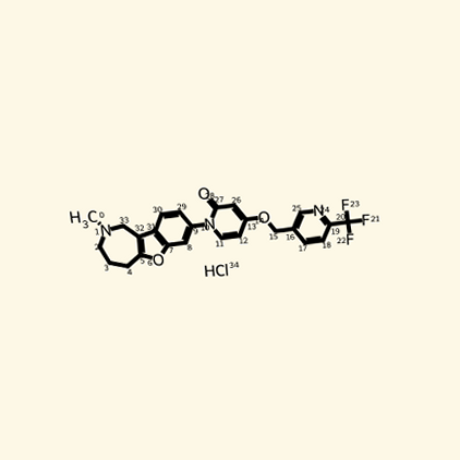 CN1CCCc2oc3cc(-n4ccc(OCc5ccc(C(F)(F)F)nc5)cc4=O)ccc3c2C1.Cl